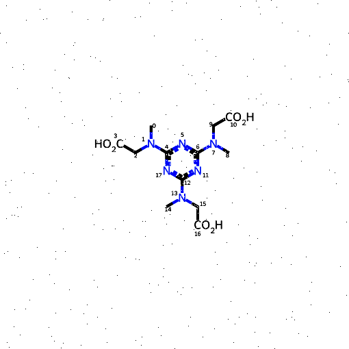 CN(CC(=O)O)c1nc(N(C)CC(=O)O)nc(N(C)CC(=O)O)n1